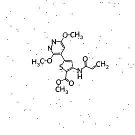 C=CC(=O)Nc1cc(-c2cc(OC)nnc2OC)sc1C(=O)OC